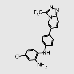 Nc1cc(Cl)ccc1Nc1ccc(-c2ccc3nnc(C(F)(F)F)n3c2)cc1